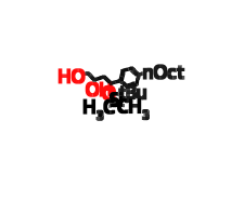 CCCCCCCCc1ccc(C(CC(O)CO)O[Si](C)(C)C(C)(C)C)cc1